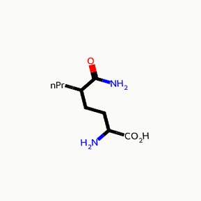 CCCC(CCC(N)C(=O)O)C(N)=O